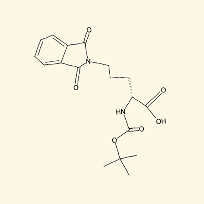 CC(C)(C)OC(=O)N[C@H](CCCN1C(=O)c2ccccc2C1=O)C(=O)O